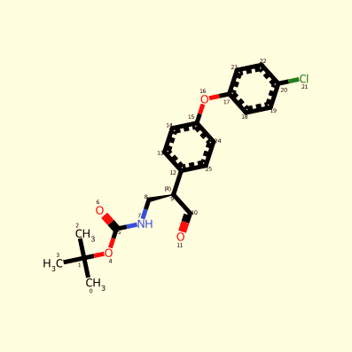 CC(C)(C)OC(=O)NC[C@H](C=O)c1ccc(Oc2ccc(Cl)cc2)cc1